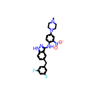 CN1CCN(c2ccc(Nc3n[nH]c4ccc(Cc5cc(F)cc(F)c5)cc34)c([N+](=O)[O-])c2)CC1